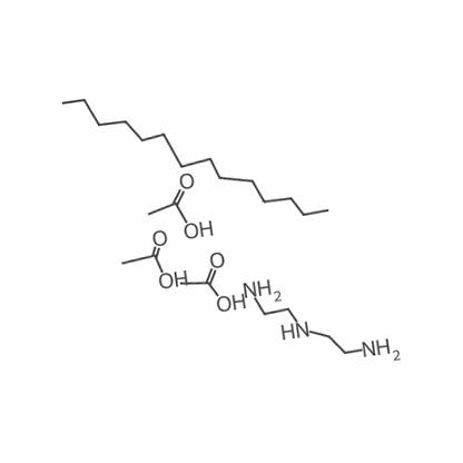 CC(=O)O.CC(=O)O.CC(=O)O.CCCCCCCCCCCCCC.NCCNCCN